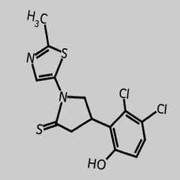 Cc1ncc(N2CC(c3c(O)ccc(Cl)c3Cl)CC2=S)s1